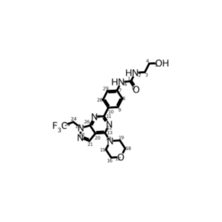 O=C(NCCO)Nc1ccc(-c2nc(N3CCOCC3)c3cnn(CC(F)(F)F)c3n2)cc1